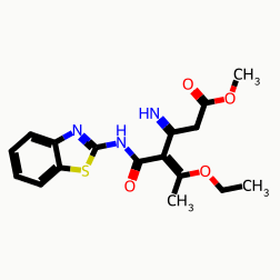 CCO/C(C)=C(\C(=N)CC(=O)OC)C(=O)Nc1nc2ccccc2s1